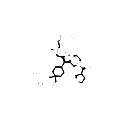 CNCCN(C)Cc1nn2c(c1C1CCC(COC)(COC)CC1)CN(C(=O)C1CCOC1)CC2